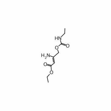 CCNC(=O)OCC(N)=CC(=O)OCC